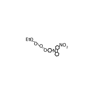 CCOCCOCCOCCOc1ccc(-n2c3ccccc3c3cc([N+](=O)[O-])ccc32)cc1